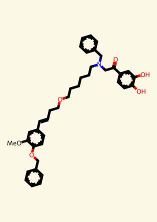 COc1cc(/C=C/CCOCCCCCCN(CC(=O)c2ccc(O)c(O)c2)Cc2ccccc2)ccc1OCc1ccccc1